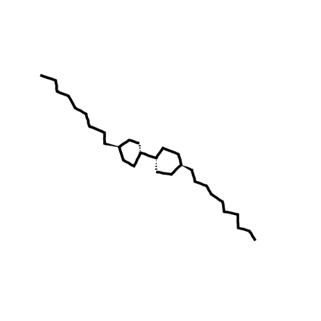 CCCCCCCCCC[C@H]1CC[C@H]([C@H]2CC[C@H](CCCCCCCCC)CC2)CC1